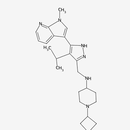 CC(C)c1c(CNC2CCN(C3COC3)CC2)n[nH]c1-c1cn(C)c2ncccc12